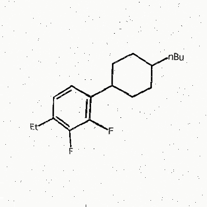 CCCCC1CCC(c2ccc(CC)c(F)c2F)CC1